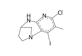 Cc1c(Cl)nc2c(c1I)N1CCC(C1)N2